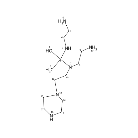 CC(O)(NCCN)N(CCN)CCN1CCNCC1